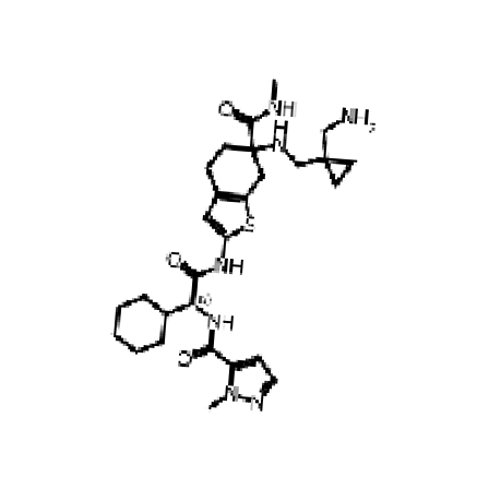 CNC(=O)C1(NCC2(CN)CC2)CCc2cc(NC(=O)[C@@H](NC(=O)c3ccnn3C)C3CCCCC3)sc2C1